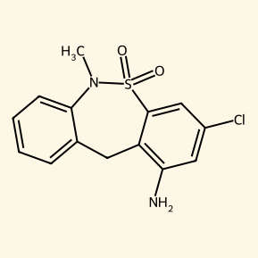 CN1c2ccccc2Cc2c(N)cc(Cl)cc2S1(=O)=O